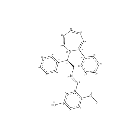 COc1ccc(O)cc1/C=N/C[C@@H](c1ccccc1)N1C=CC=CC=C1c1ccccc1